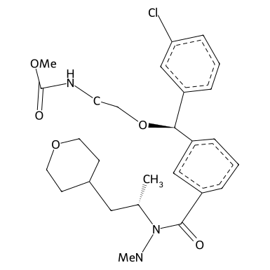 CNN(C(=O)c1cccc([C@@H](OCCNC(=O)OC)c2cccc(Cl)c2)c1)[C@@H](C)CC1CCOCC1